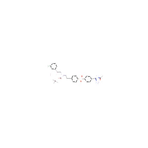 Cc1nc(-c2ccc(S(=O)(=O)c3ccc(CCN(CC(O)c4cccc(Cl)c4)C(=O)OC(C)(C)C)cc3)cc2)no1